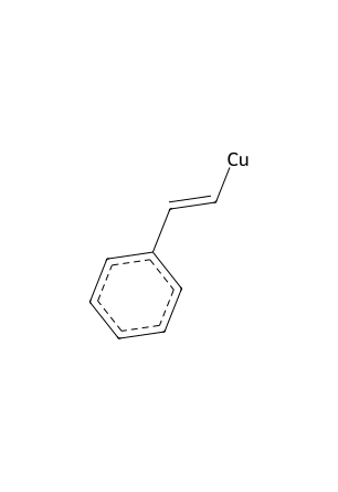 [Cu][CH]=Cc1ccccc1